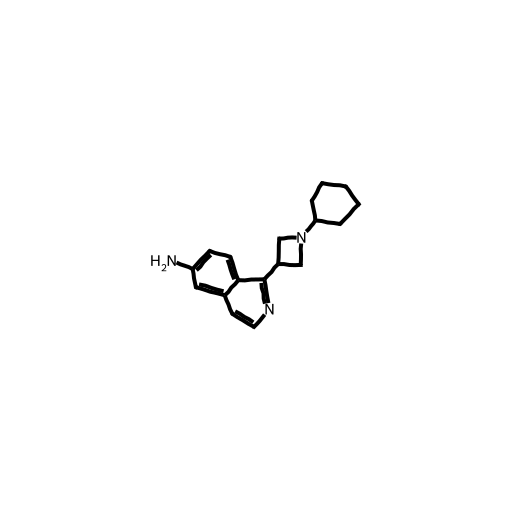 Nc1ccc2c(C3CN(C4CCCCC4)C3)nccc2c1